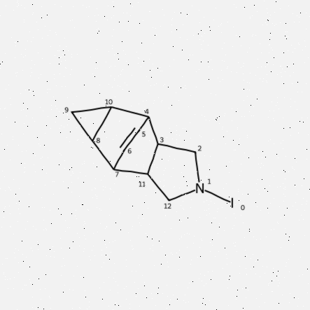 IN1CC2C3C=CC(C4CC34)C2C1